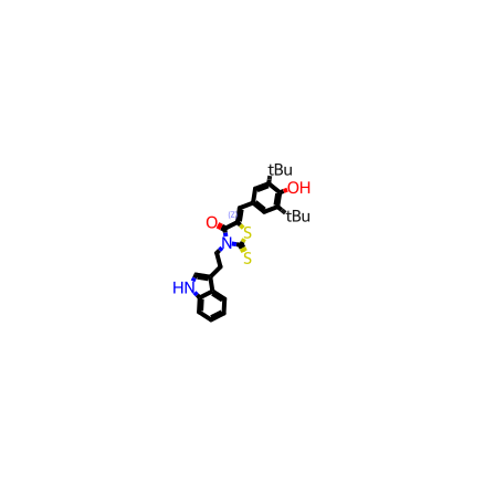 CC(C)(C)c1cc(/C=C2\SC(=S)N(CCc3c[nH]c4ccccc34)C2=O)cc(C(C)(C)C)c1O